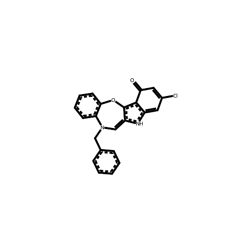 O=C1C=C(Cl)C=c2[nH]c3c(c21)Oc1ccccc1N(Cc1ccccc1)C=3